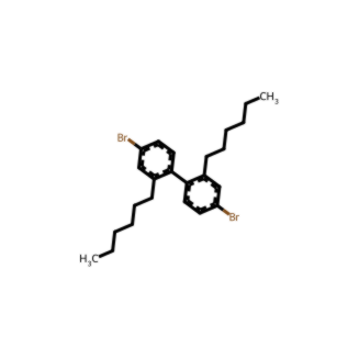 CCCCCCc1cc(Br)ccc1-c1ccc(Br)cc1CCCCCC